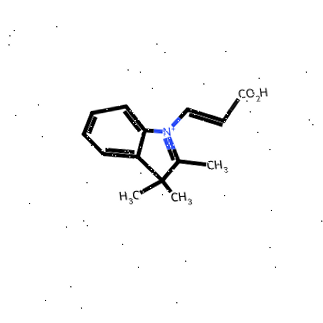 CC1=[N+](C=CC(=O)O)c2ccccc2C1(C)C